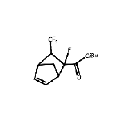 CC(C)COC(=O)C1(F)C2C=CC(C2)C1C(F)(F)F